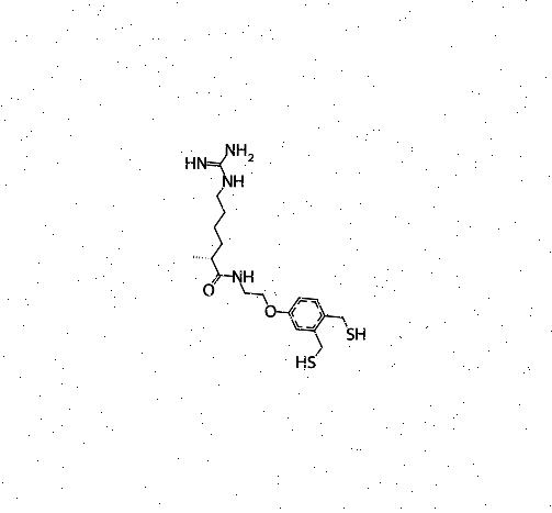 C[C@H](CCCCNC(=N)N)C(=O)NCCOc1ccc(CS)c(CS)c1